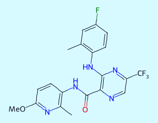 COc1ccc(NC(=O)c2ncc(C(F)(F)F)nc2Nc2ccc(F)cc2C)c(C)n1